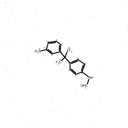 O=CNc1ccc(C(c2cccc([N+](=O)[O-])c2)(C(F)(F)F)C(F)(F)F)cc1